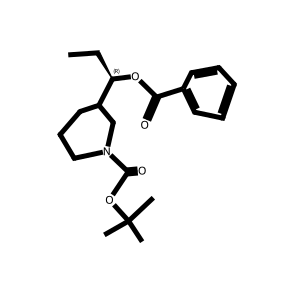 CC[C@@H](OC(=O)c1ccccc1)C1CCCN(C(=O)OC(C)(C)C)C1